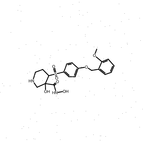 COc1ccccc1COc1ccc(S(=O)(=O)C2CCNCC2(O)C(=O)NO)cc1